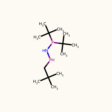 CC(C)(C)CPNP(C(C)(C)C)C(C)(C)C